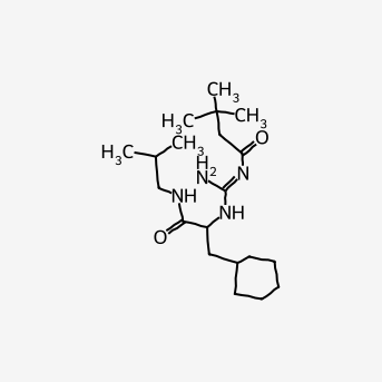 CC(C)CNC(=O)C(CC1CCCCC1)NC(N)=NC(=O)CC(C)(C)C